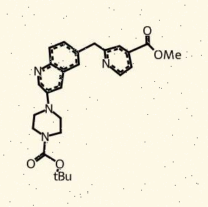 COC(=O)c1ccnc(Cc2ccc3ncc(N4CCN(C(=O)OC(C)(C)C)CC4)cc3c2)c1